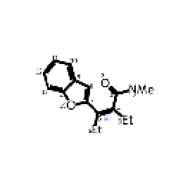 CC/C(C(=O)NC)=C(\CC)c1cc2ccccc2o1